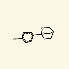 Clc1ccc(C23OCC(CO2)CO3)cc1